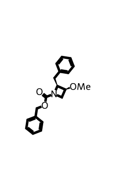 CO[C@H]1CN(C(=O)OCc2ccccc2)[C@H]1Cc1ccccc1